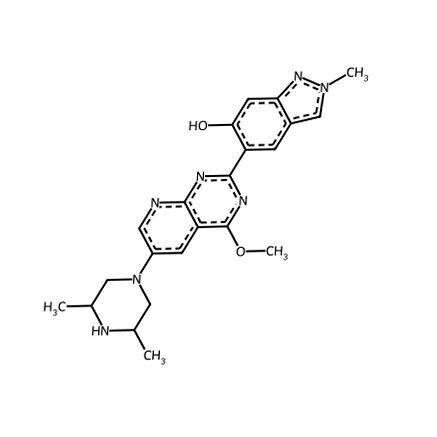 COc1nc(-c2cc3cn(C)nc3cc2O)nc2ncc(N3CC(C)NC(C)C3)cc12